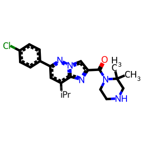 CC(C)c1cc(-c2ccc(Cl)cc2)nn2cc(C(=O)N3CCNCC3(C)C)nc12